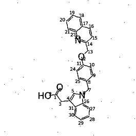 O=C(O)Cc1cn(Cc2ccc(OCc3ccc4ccccc4n3)cc2)c2ccccc12